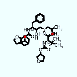 CC(C)CN(C[C@@H](O)[C@H](Cc1ccccc1)NC(=O)OC1C2COC3OCC1C3C2)NC(=O)[C@@H](NC(=O)OC1CCOC1)C(C)(C)C